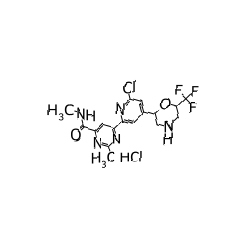 CNC(=O)c1cc(-c2cc(C3CNCC(C(F)(F)F)O3)cc(Cl)n2)nc(C)n1.Cl